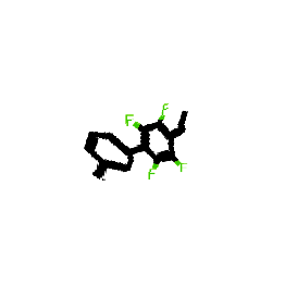 [CH2]c1cccc(-c2c(F)c(F)c(C=C)c(F)c2F)c1